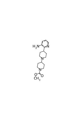 COC(=O)N1CCC(N2CCC(c3ncccc3N)CC2)CC1